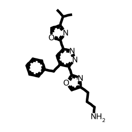 CC(C)c1coc(-c2cc(Cc3ccccc3)c(-c3nc(CCCN)co3)nn2)n1